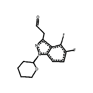 O=CCc1nn(C2CCCCO2)c2ccc(F)c(F)c12